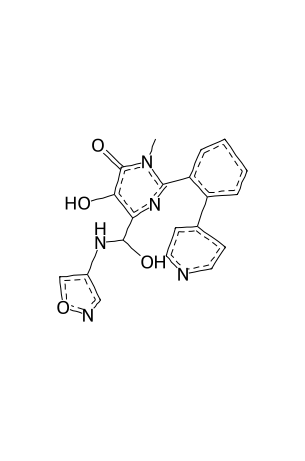 Cn1c(-c2ccccc2-c2ccncc2)nc(C(O)Nc2cnoc2)c(O)c1=O